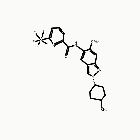 COc1cc2nn([C@H]3CC[C@H](C)CC3)cc2cc1NC(=O)c1cccc(S(F)(F)(F)(F)F)n1